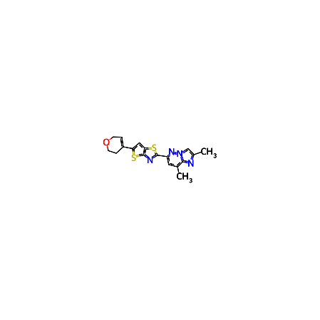 Cc1cn2nc(-c3nc4sc(C5=CCOCC5)cc4s3)cc(C)c2n1